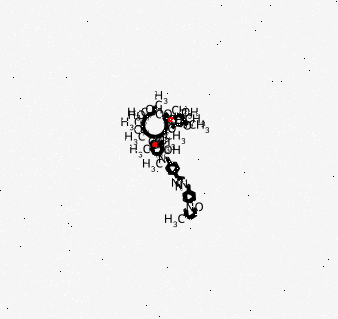 CCC1OC(=O)[C@H](C)[C@H](OC2C[C@@](C)(OC)[C@@H](O)[C@H](C)O2)[C@H](C)[C@@H](OC2O[C@H](C)C[C@H](N(C)Cc3ccc(-c4cn(Cc5ccc(-n6cc(C)ccc6=O)cc5)nn4)cc3)[C@H]2O)[C@@](C)(OC)C[C@@H](C)C(=O)[C@H](C)[C@@H](O)[C@]1(C)O